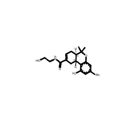 CC(C)(C)c1cc(O)c2c(c1)OC(C)(C)[C@@H]1CC=C(C(=O)NCCO)C[C@@H]21